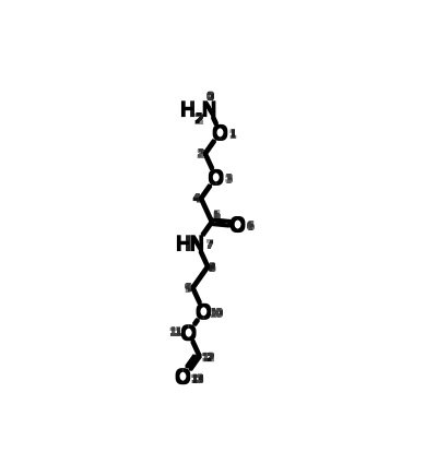 NOCOCC(=O)NCCOOC=O